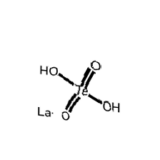 O=[Te](=O)(O)O.[La]